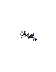 COc1cc(CC(C)(C)C)c2nc(Cn3cccc(NC(=O)[C@H](CC/C=C/C(=O)N(C)C)OC(=O)N(C)C)c3=O)n(C(=O)O)c2c1